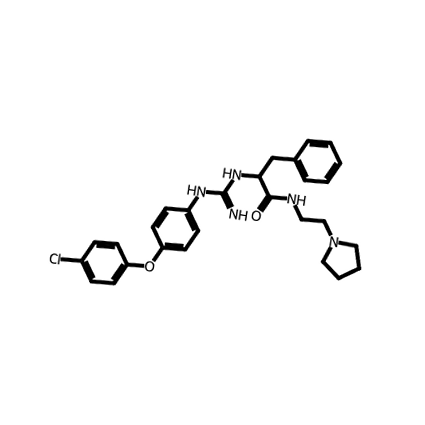 N=C(Nc1ccc(Oc2ccc(Cl)cc2)cc1)NC(Cc1ccccc1)C(=O)NCCN1CCCC1